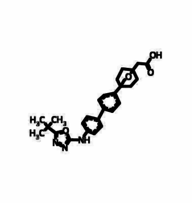 CC(C)(C)c1nnc(Nc2ccc(-c3ccc(C45CCC(CC(=O)O)(CC4)OC5)cc3)cc2)o1